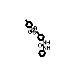 Cc1ccc(S(=O)(=O)OCc2ccc(NC(=O)Nc3ccccc3)cc2)cc1